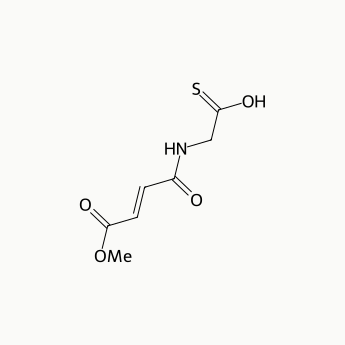 COC(=O)C=CC(=O)NCC(O)=S